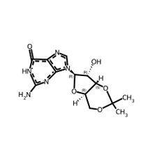 CC1(C)OC[C@H]2O[C@@H](n3cnc4c(=O)[nH]c(N)nc43)[C@H](O)[C@@H]2O1